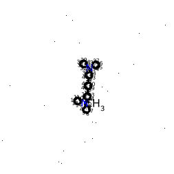 CC1(N(c2ccccc2)c2ccccc2)C=CC(c2ccc(-c3ccc(N(c4ccccc4)C4C=CC=CC4)cc3)cc2)=CC1